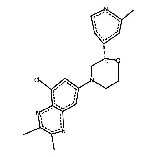 Cc1cc([C@H]2CN(c3cc(Cl)c4nc(C)c(C)nc4c3)CCO2)ccn1